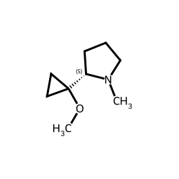 COC1([C@@H]2CCCN2C)CC1